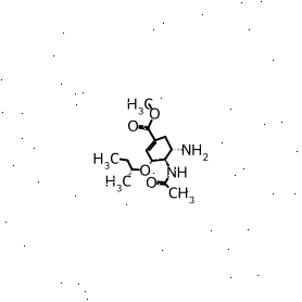 CC[C@@H](C)O[C@@H]1C=C(C(=O)OC)C[C@H](N)[C@H]1NC(C)=O